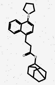 O=C(CCc1ccc([SH]2CCCC2)c2ccccc12)OC1C2CC3CC(C2)CC1C3